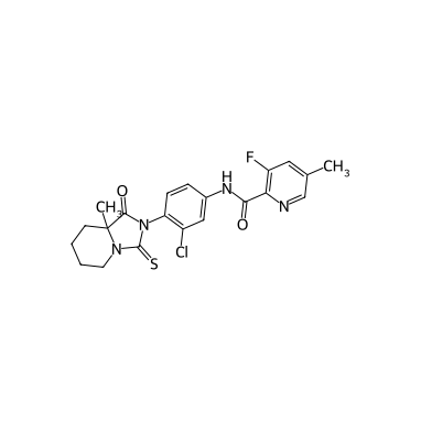 Cc1cnc(C(=O)Nc2ccc(N3C(=O)C4(C)CCCCN4C3=S)c(Cl)c2)c(F)c1